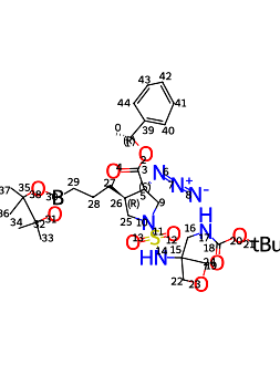 C[C@@H](OC(=O)[C@@]1(N=[N+]=[N-])CN(S(=O)(=O)NC2(CNC(=O)OC(C)(C)C)COC2)C[C@H]1CCCB1OC(C)(C)C(C)(C)O1)c1ccccc1